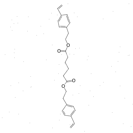 C=Cc1ccc(CCOC(=O)CCCCC(=O)OCCc2ccc(C=C)cc2)cc1